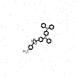 Cc1ccc(-c2nnc(-c3ccc(N(c4ccccc4)c4ccc(N(c5ccccc5)c5ccccc5)cc4)cc3)o2)cc1